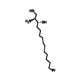 CC(C)CCCCCCCCCCC[C@@H](O)[C@@H](N)CO